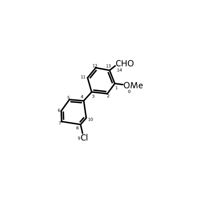 COc1cc(-c2cccc(Cl)c2)ccc1C=O